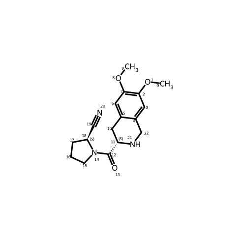 COc1cc2c(cc1OC)C[C@@H](C(=O)N1CCC[C@H]1C#N)NC2